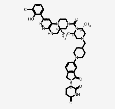 C[C@@H]1CN(CC2CCN(c3ccc4c(c3)C(=O)N([C@@H]3CCC(=O)NC3=O)C4)CC2)C[C@@H](C)N1C(=O)N1CCN2c3cc(-c4cccc(Cl)c4O)nnc3NC[C@@]2(C)C1